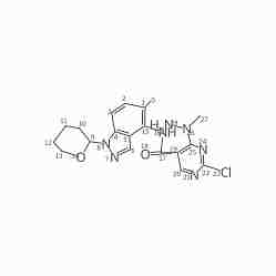 Cc1ccc2c(cnn2C2CCCCO2)c1NC(=O)c1cnc(Cl)nc1N(C)N